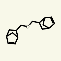 C1=CC2CC1CC2COCC1CC2C=CC1C2